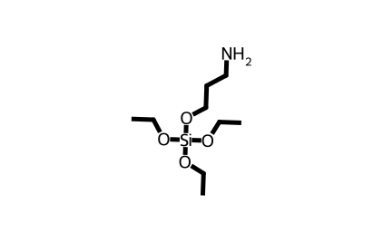 CCO[Si](OCC)(OCC)OCCCN